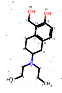 CCCN(CCC)C1CCc2c(ccc(O)c2CO)C1